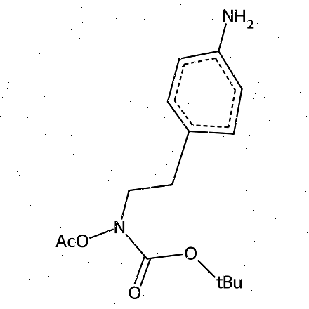 CC(=O)ON(CCc1ccc(N)cc1)C(=O)OC(C)(C)C